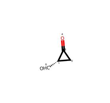 O=C[C@H]1CC1=O